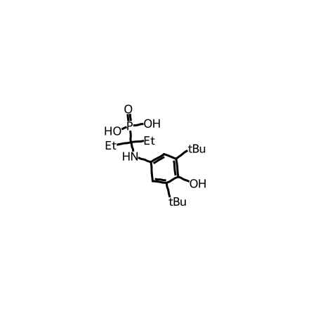 CCC(CC)(Nc1cc(C(C)(C)C)c(O)c(C(C)(C)C)c1)P(=O)(O)O